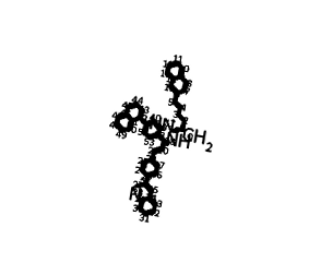 C=C(CC/C=C/c1ccc2ccccc2c1)C(=N)NC(/C=C/c1ccc(-c2cnc3ccccc3c2)cc1)c1ccc(-c2cccc3ccccc23)cc1